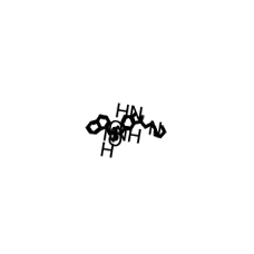 O=S(=O)(Nc1ccc2[nH]cc(CCN3CCCC3)c2c1)Nc1cccc2ccccc12